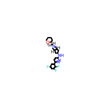 [2H]C([2H])([C@H]1CCCCO1)N1C[C@H]2CC(Nc3ccc(-c4cc(F)cc(F)c4F)nn3)C[C@H]2C1